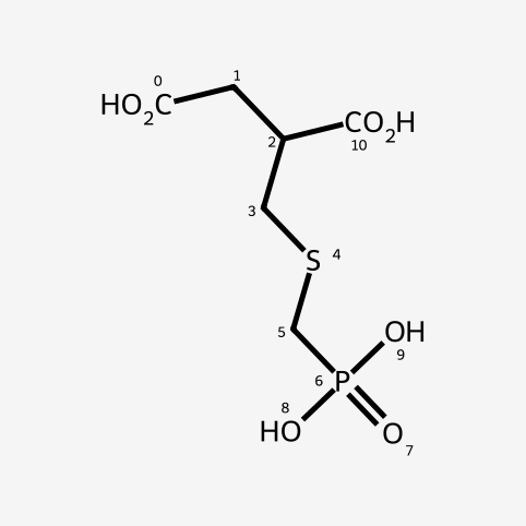 O=C(O)CC(CSCP(=O)(O)O)C(=O)O